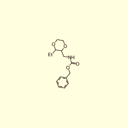 CCC1OCCOC1CNC(=O)OCc1ccccc1